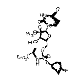 B[C@]1(Cl)[C@H](O)[C@@H](CO[P@@](=O)(N[C@@H](C)C(=O)OCC)Oc2ccc(F)cc2)O[C@H]1n1ccc(=O)[nH]c1=O